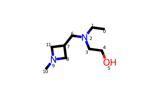 CCN(CCO)CC1CN(C)C1